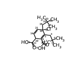 CC(C)(C)CC1=C(C(=O)O)C(C(=O)O)C=CC1(Cl)CC(C)(C)C